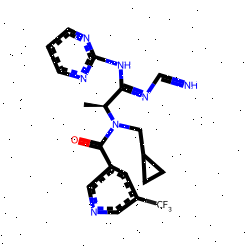 C[C@@H](/C(=N/C=N)Nc1ncccn1)N(CC1CC1)C(=O)c1cncc(C(F)(F)F)c1